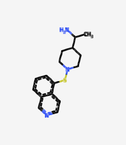 CC(N)C1CCN(Sc2cccc3cnccc23)CC1